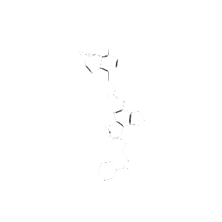 CNc1c(O)ccc(CCNCc2cc3nnn(CCCN(C)C4CCCCC4)c3c3c2CCC3)c1/C=C\C=O